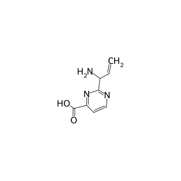 C=CC(N)c1nccc(C(=O)O)n1